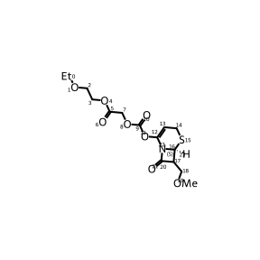 CCOCCOC(=O)COC(=O)OC1=CCS[C@H]2C(COC)C(=O)N12